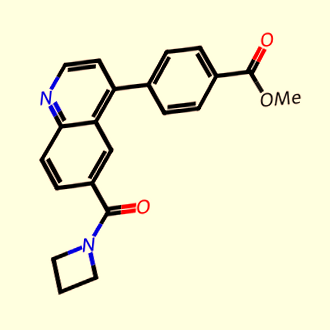 COC(=O)c1ccc(-c2ccnc3ccc(C(=O)N4CCC4)cc23)cc1